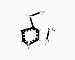 CCCOc1ccncc1.CCN